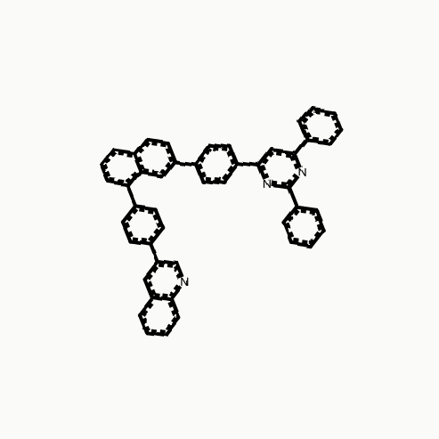 c1ccc(-c2cc(-c3ccc(-c4ccc5cccc(-c6ccc(-c7cnc8ccccc8c7)cc6)c5c4)cc3)nc(-c3ccccc3)n2)cc1